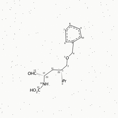 CC(C)[C@@H](COCc1ccccc1)C[C@@H](C=O)NC(=O)O